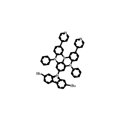 CC(C)(C)c1ccc2c3ccc(C(C)(C)C)cc3n(-c3cc4c5c(c3)N(c3ccccc3)c3ccc(-c6ccncc6)cc3B5c3cc(-c5ccncc5)ccc3N4c3ccccc3)c2c1